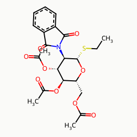 CCS[C@@H]1O[C@H](COC(C)=O)[C@@H](OC(C)=O)[C@H](OC(C)=O)[C@H]1N1C(=O)c2ccccc2C1=O